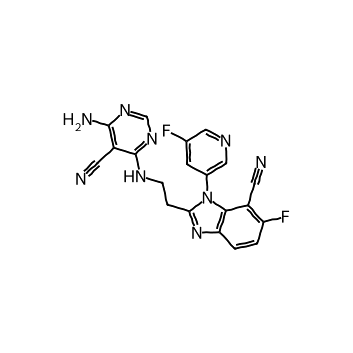 N#Cc1c(N)ncnc1NCCc1nc2ccc(F)c(C#N)c2n1-c1cncc(F)c1